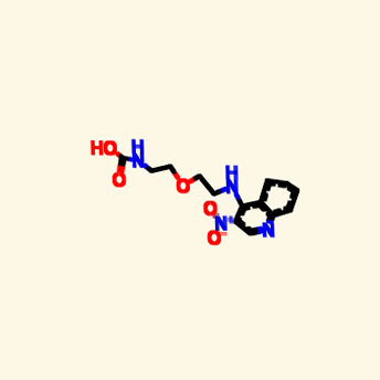 O=C(O)NCCOCCNc1c([N+](=O)[O-])cnc2ccccc12